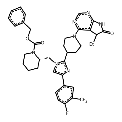 CCC1C(=O)Nc2ncnc(N3CCC(c4nc(-c5ccc(F)c(C(F)(F)F)c5)cn4C[C@@H]4CCCCN4C(=O)OCc4ccccc4)CC3)c21